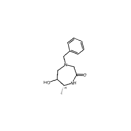 C[C@H]1NC(=O)CN(Cc2ccccc2)CC1O